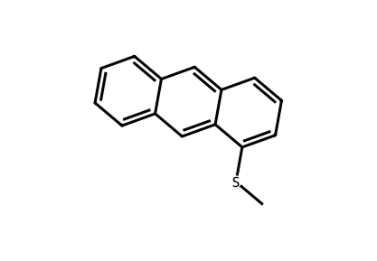 CSc1cccc2cc3ccccc3cc12